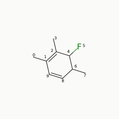 CC1=C(C)C(F)C(C)C=C1